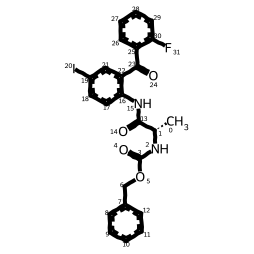 C[C@H](NC(=O)OCc1ccccc1)C(=O)Nc1ccc(I)cc1C(=O)c1ccccc1F